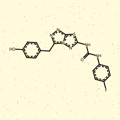 O=C(Nc1ccc(F)cc1)Nc1nn2c(Cc3ccc(O)cc3)nnc2s1